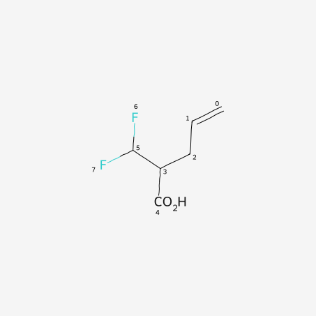 C=CCC(C(=O)O)C(F)F